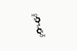 Oc1ccc(SSc2ccc(O)nc2)cn1